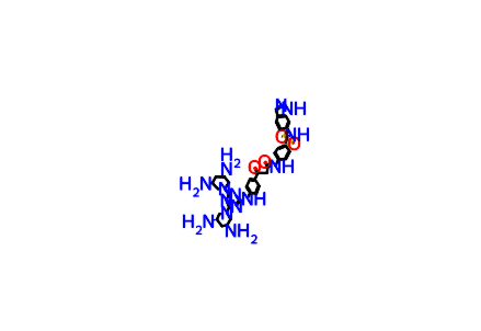 N[C@@H]1C[C@H](N)CN(c2nc(Nc3ccc(C(=O)CC(=O)Nc4ccc(S(=O)(=O)Nc5ccc6cn[nH]c6c5)cc4)cc3)nc(N3C[C@H](N)C[C@H](N)C3)n2)C1